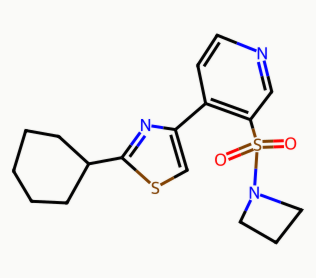 O=S(=O)(c1cnccc1-c1csc(C2CCCCC2)n1)N1CCC1